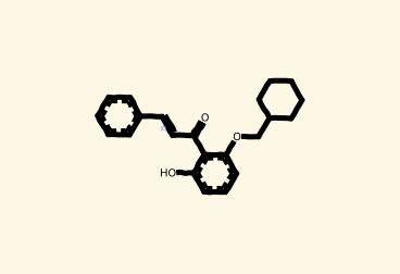 O=C(/C=C/c1ccccc1)c1c(O)cccc1OCC1CCCCC1